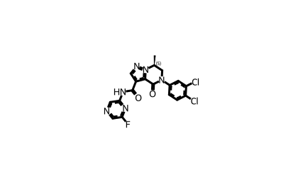 C[C@H]1CN(c2ccc(Cl)c(Cl)c2)C(=O)c2c(C(=O)Nc3cncc(F)n3)cnn21